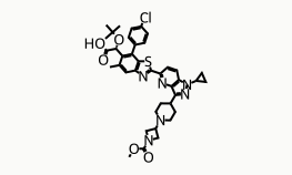 COC(=O)N1CC(N2CCC(c3nn(C4CC4)c4ccc(-c5nc6cc(C)c([C@H](OC(C)(C)C)C(=O)O)c(-c7ccc(Cl)cc7)c6s5)nc34)CC2)C1